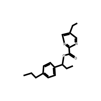 CCCc1ccc(C(CC)OC(=O)c2ncc(CC)cn2)cc1